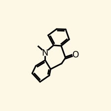 CN1c2ccccc2CC(=O)c2ccccc21